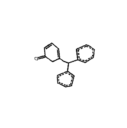 O=C1C=CC=C(C(c2ccccc2)c2ccccc2)C1